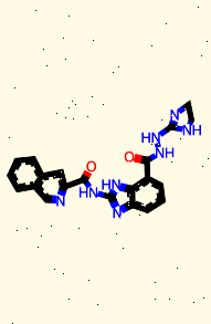 O=C(Nc1nc2cccc(C(=O)NNC3=NCCN3)c2[nH]1)c1cc2ccccc2cn1